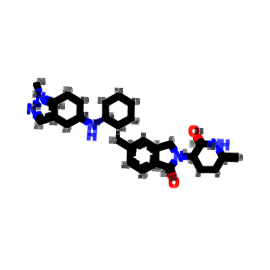 C=C1CCC(N2Cc3cc(C[C@H]4CCCC[C@@H]4NC4CCc5c(cnn5C)C4)ccc3C2=O)C(=O)N1